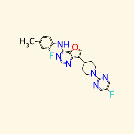 Cc1ccc(Nc2ncnc3c(C4CCN(c5ncc(F)cn5)CC4)coc23)c(F)c1